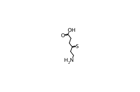 NCCC(=S)CCC(=O)O